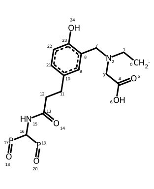 [CH2]CN(CC(=O)O)Cc1cc(CCC(=O)NC(P=O)P=O)ccc1O